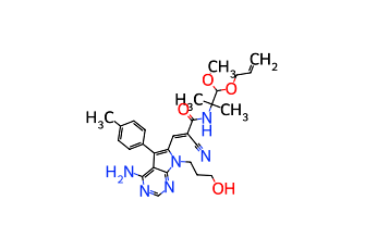 C=CCOC(OC)C(C)(C)NC(=O)/C(C#N)=C/c1c(-c2ccc(C)cc2)c2c(N)ncnc2n1CCCO